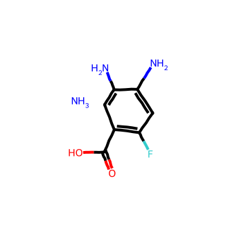 N.Nc1cc(F)c(C(=O)O)cc1N